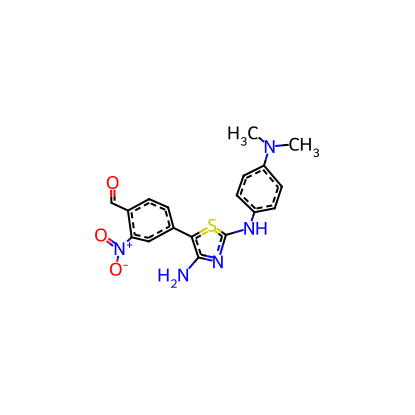 CN(C)c1ccc(Nc2nc(N)c(-c3ccc(C=O)c([N+](=O)[O-])c3)s2)cc1